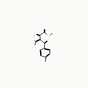 CCn1nc(-c2ccc(C)cc2)c2c(C)onc2c1=O